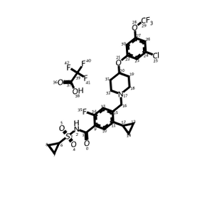 O=C(NS(=O)(=O)C1CC1)c1cc(C2CC2)c(CN2CCC(Oc3cc(Cl)cc(OC(F)(F)F)c3)CC2)cc1F.O=C(O)C(F)(F)F